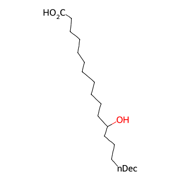 CCCCCCCCCCCCCC(O)CCCCCCCCCCC(=O)O